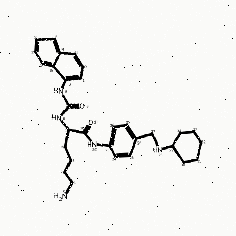 NCCCCC(NC(=O)Nc1cccc2ccccc12)C(=O)Nc1ccc(CNC2CCCCC2)cc1